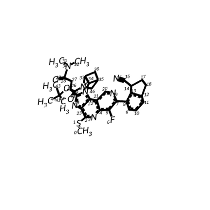 CSc1nc2c(F)c(-c3cccc4c3C(C#N)CC4)ncc2c2c1nc(CCC(=O)N(C)C)n2C1C2CC1N(C(=O)OC(C)(C)C)C2